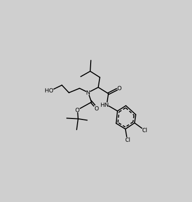 CC(C)CC(C(=O)Nc1ccc(Cl)c(Cl)c1)N(CCCO)C(=O)OC(C)(C)C